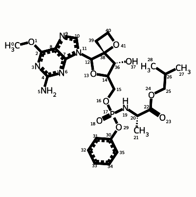 COc1nc(N)nc2c1ncn2C1OC(COP(=O)(N[C@@H](C)C(=O)OCC(C)C)Oc2ccccc2)[C@@H](O)[C@]12CCO2